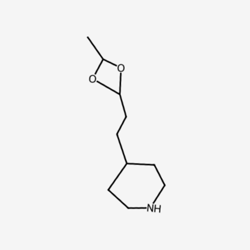 CC1OC(CCC2CCNCC2)O1